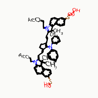 CC(=O)OCCN1/C(=C/C=C2\CCC(/C=C/C3=[N+](CCOC(C)=O)c4ccc5cc(SOOO)ccc5c4C3(C)C)=C2N(c2ccccc2)c2ccccc2)C(C)(C)c2c1ccc1cc(SO)ccc21